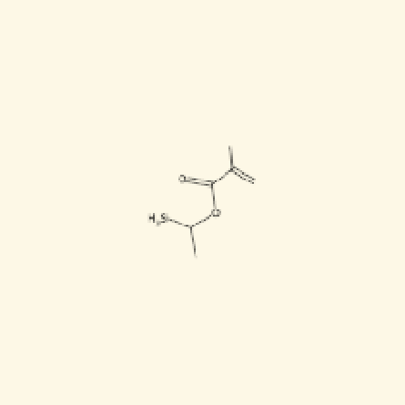 C=C(C)C(=O)OC(C)[SiH3]